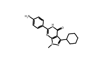 Cn1nc(C2CCCCC2)c2c(=O)[nH]c(-c3ccc(N)cc3)nc21